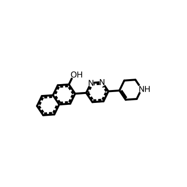 Oc1cc2ccccc2cc1-c1ccc(C2=CCNCC2)nn1